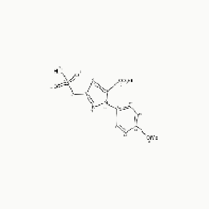 CCOC(=O)c1cc(CS(C)(=O)=O)nn1-c1ccc(OC)cc1